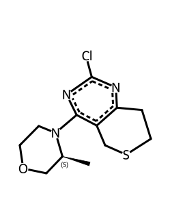 C[C@H]1COCCN1c1nc(Cl)nc2c1CSCC2